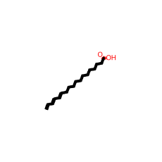 C=CC=CC=CCCCCCCCCCCCC(=O)O